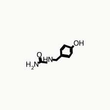 NC(=O)CNCc1ccc(O)cc1